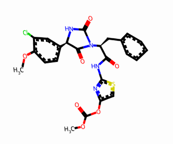 COC(=O)Oc1csc(NC(=O)[C@H](Cc2ccccc2)N2C(=O)N[C@H](c3ccc(OC)c(Cl)c3)C2=O)n1